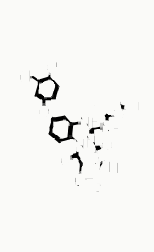 CCC(=O)Nc1ccc(Oc2ccc(Cl)c(Cl)c2)cc1NC(=NC(=O)OC)NC(=O)OC